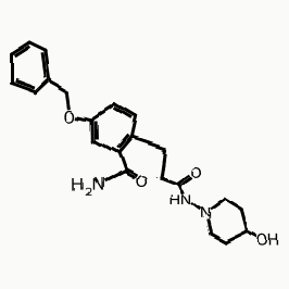 NC(=O)c1cc(OCc2ccccc2)ccc1C[CH]C(=O)NN1CCC(O)CC1